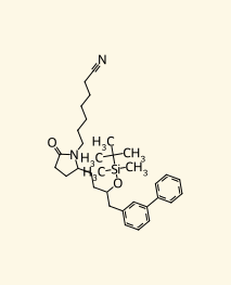 CC(C)(C)[Si](C)(C)OC(CCC1CCC(=O)N1CCCCCCC#N)Cc1cccc(-c2ccccc2)c1